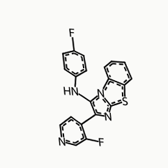 Fc1ccc(Nc2c(-c3ccncc3F)nc3sc4ccccc4n23)cc1